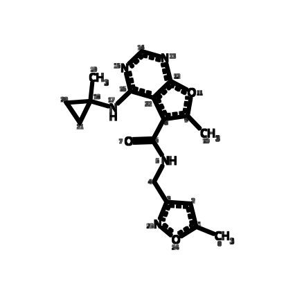 Cc1cc(CNC(=O)c2c(C)oc3ncnc(NC4(C)CC4)c23)no1